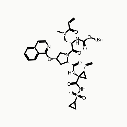 C=CC(=O)N(C)C[C@H](NC(=O)OC(C)(C)C)C(=O)N1C[C@H](Oc2nccc3ccccc23)C[C@H]1C(=O)N[C@]1(C(=O)NS(=O)(=O)C2CC2)C[C@H]1C=C